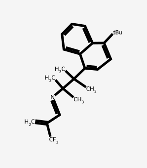 C=C(/C=N/C(C)(C)C(C)(C)c1ccc(C(C)(C)C)c2ccccc12)C(F)(F)F